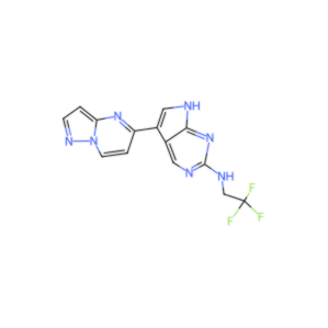 FC(F)(F)CNc1ncc2c(-c3ccn4nccc4n3)c[nH]c2n1